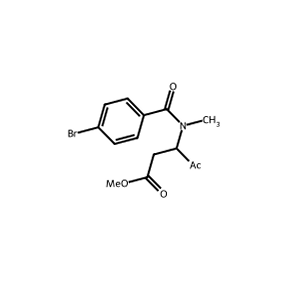 COC(=O)CC(C(C)=O)N(C)C(=O)c1ccc(Br)cc1